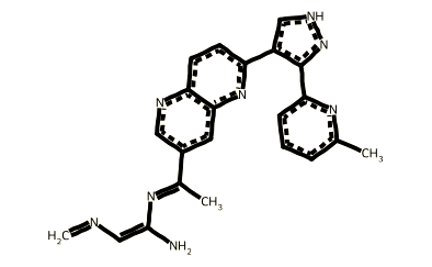 C=N/C=C(N)\N=C(/C)c1cnc2ccc(-c3c[nH]nc3-c3cccc(C)n3)nc2c1